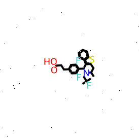 CC1Cc2sc3ccccc3c2C(c2c(F)cc(CCC(=O)O)cc2F)N1CC(C)(C)F